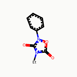 CCn1c(=O)on(-c2ccccc2)c1=O